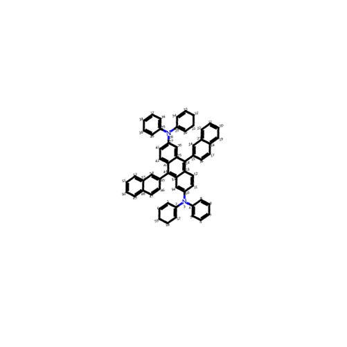 C1=CC(N(c2ccccc2)c2ccc3c(-c4ccc5ccccc5c4)c4cc(N(C5=CCCC=C5)c5ccccc5)ccc4c(-c4ccc5ccccc5c4)c3c2)=CCC1